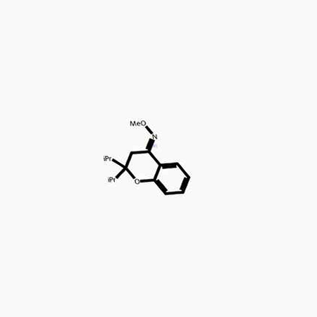 CO/N=C1\CC(C(C)C)(C(C)C)Oc2ccccc21